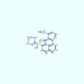 O=C(O)c1ccccc1Nc1c(S(=O)(=O)N2CCOCC2)cnc2ccccc12